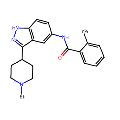 CCCc1ccccc1C(=O)Nc1ccc2[nH]nc(C3CCN(CC)CC3)c2c1